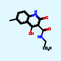 Cc1ccc2[nH]c(=O)c(C(=O)NCC(=O)O)c(O)c2c1